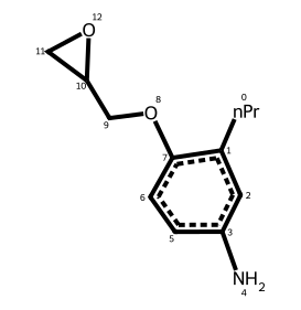 CCCc1cc(N)ccc1OCC1CO1